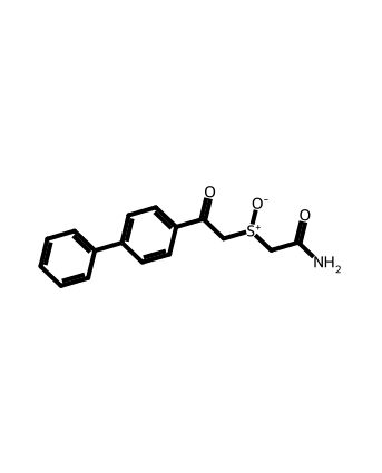 NC(=O)C[S+]([O-])CC(=O)c1ccc(-c2ccccc2)cc1